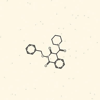 O=C(C1C(=O)N(OCc2ccccc2)C(=O)c2ccccc21)N1CCCCC1